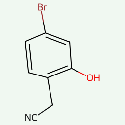 N#CCc1ccc(Br)cc1O